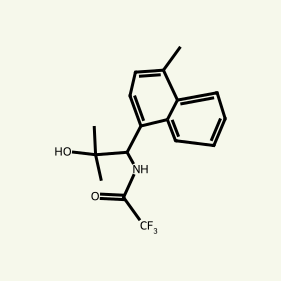 Cc1ccc(C(NC(=O)C(F)(F)F)C(C)(C)O)c2ccccc12